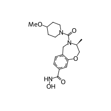 COC1CCN(C(=O)N2Cc3ccc(C(=O)NO)cc3OC[C@@H]2C)CC1